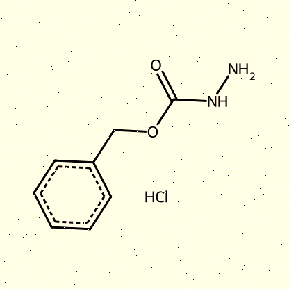 Cl.NNC(=O)OCc1ccccc1